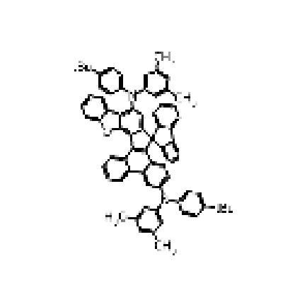 Cc1cc(C)cc(N(c2ccc(C(C)(C)C)cc2)c2ccc3c4c(c5ccccc5c3c2)-c2c(cc(N(c3ccc(C(C)(C)C)cc3)c3cc(C)cc(C)c3)c3c2oc2ccccc23)C42c3ccccc3-c3ccccc32)c1